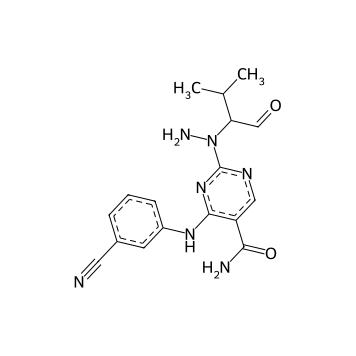 CC(C)C(C=O)N(N)c1ncc(C(N)=O)c(Nc2cccc(C#N)c2)n1